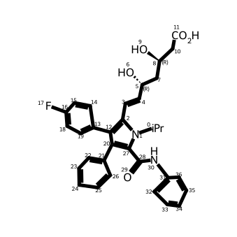 CC(C)n1c(C=C[C@H](O)C[C@@H](O)CC(=O)O)c(-c2ccc(F)cc2)c(-c2ccccc2)c1C(=O)Nc1ccccc1